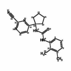 Cc1cccc(NC(=O)NC2(c3ccnc(C#N)n3)CCCC2)c1C